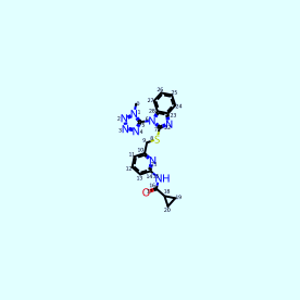 Cn1nnnc1-n1c(SCc2cccc(NC(=O)C3CC3)n2)nc2ccccc21